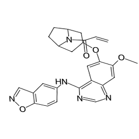 C=CC(=O)N1C2CCC1CC(Oc1cc3c(Nc4ccc5oncc5c4)ncnc3cc1OC)C2